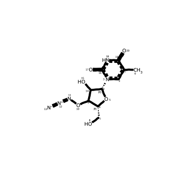 Cc1cn([C@@H]2O[C@H](CO)C(ON=[N+]=[N-])C2O)c(=O)[nH]c1=O